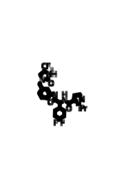 CC(C)n1nccc1C(=O)NC(c1nc2cc(CN3CC(C(F)(F)F)NC3=O)ccc2o1)C1CCC(F)(F)CC1